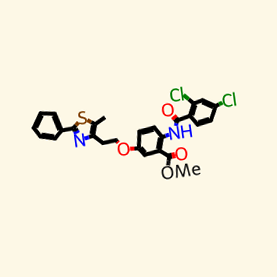 COC(=O)c1cc(OCCc2nc(-c3ccccc3)sc2C)ccc1NC(=O)c1ccc(Cl)cc1Cl